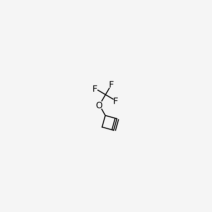 FC(F)(F)OC1C#CC1